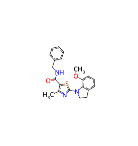 COc1cccc2c1N(c1nc(C)c(C(=O)NCc3ccccc3)s1)CC2